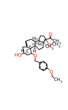 CCOc1ccc(COC2CC(O)CC3=CC[C@H]4[C@@H]5CC[C@](OC)(C(C)=O)[C@@]5(C)CC[C@@H]4[C@]32C)cc1